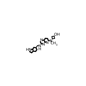 CN(c1ccc2ncc(NCc3ccc4cc[nH]c4c3)nc2n1)[C@H]1C[C@H](O)C1